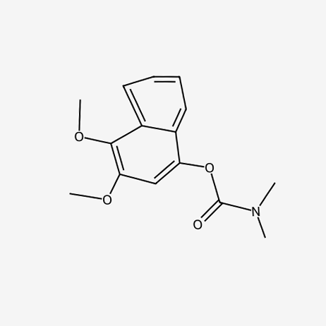 COc1cc(OC(=O)N(C)C)c2ccccc2c1OC